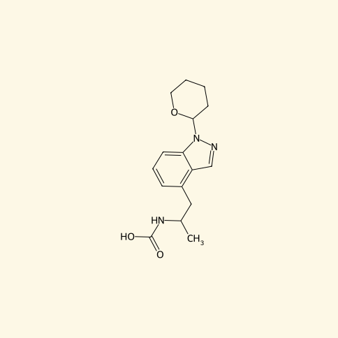 CC(Cc1cccc2c1cnn2C1CCCCO1)NC(=O)O